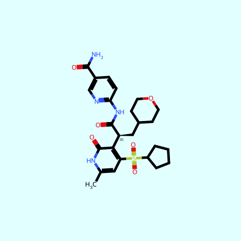 Cc1cc(S(=O)(=O)C2CCCC2)c([C@H](CC2CCOCC2)C(=O)Nc2ccc(C(N)=O)cn2)c(=O)[nH]1